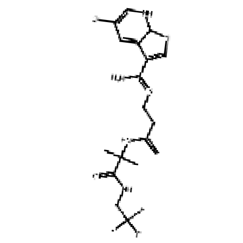 C=C(CC/N=C(\N)C1=CNC2NC=C(Cl)C=C12)NC(C)(C)C(=O)NCC(F)(F)F